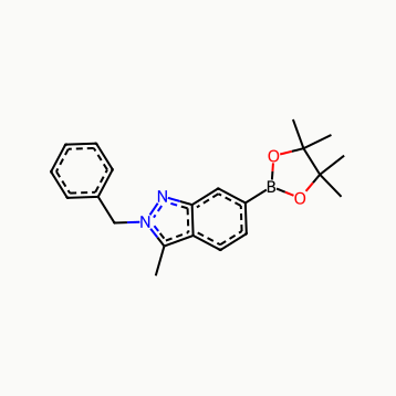 Cc1c2ccc(B3OC(C)(C)C(C)(C)O3)cc2nn1Cc1ccccc1